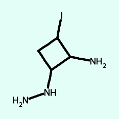 NNC1CC(I)C1N